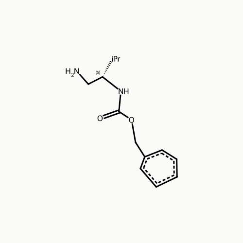 CC(C)[C@@H](CN)NC(=O)OCc1ccccc1